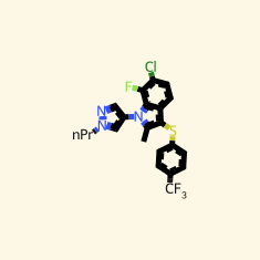 CCCn1cc(-n2c(C)c(Sc3ccc(C(F)(F)F)cc3)c3ccc(Cl)c(F)c32)cn1